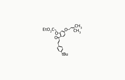 CCOC(=O)COc1cc(OCC=C(C)C)ccc1C(=O)C=Cc1ccc(C(C)(C)C)cc1